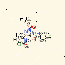 CCOC(=O)n1nc2c(c1NC(=O)c1ccc(F)cc1)CN(C(=O)Cl)C2(C)C